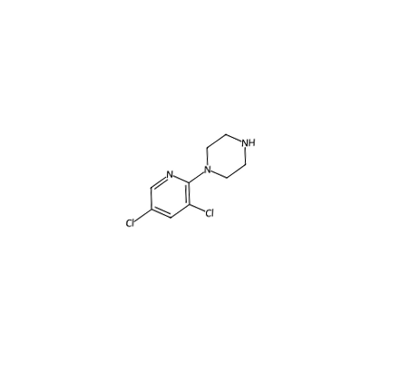 Clc1cnc(N2CCNCC2)c(Cl)c1